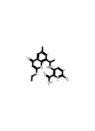 CCSc1cc(=O)c2cc(C)cc(C(C)Nc3ccc(Cl)nc3C(=O)O)c2o1